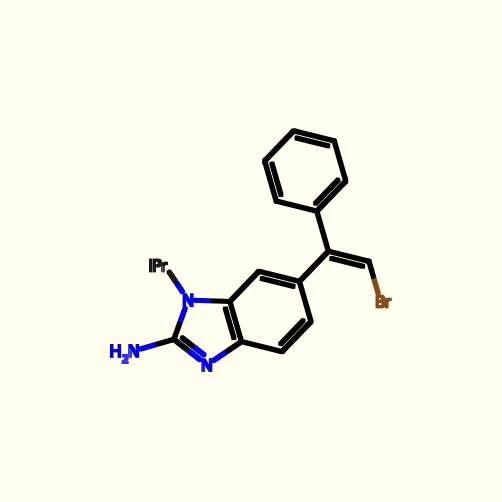 CC(C)n1c(N)nc2ccc(/C(=C\Br)c3ccccc3)cc21